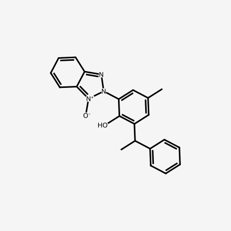 Cc1cc(C(C)c2ccccc2)c(O)c(-n2nc3ccccc3[n+]2[O-])c1